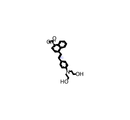 O=[N+]([O-])c1ccc(/C=C/c2ccc(N(CCO)CCO)cc2)c2ccccc12